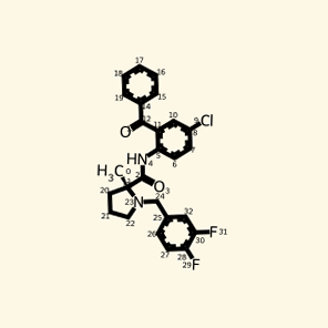 C[C@]1(C(=O)Nc2ccc(Cl)cc2C(=O)c2ccccc2)CCCN1Cc1ccc(F)c(F)c1